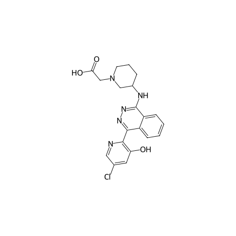 O=C(O)CN1CCCC(Nc2nnc(-c3ncc(Cl)cc3O)c3ccccc23)C1